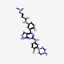 CN(C)C/C=C/C(=O)Nc1ccc(Cl)c(-c2nc(Nc3ccc(Cl)c(N4CCN(C)CC4)c3)nc3[nH]ncc23)c1